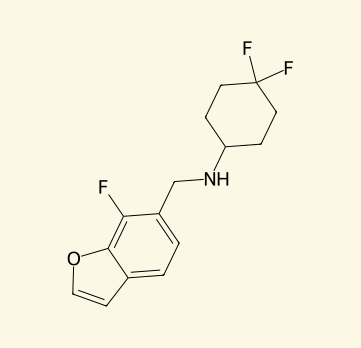 Fc1c(CNC2CCC(F)(F)CC2)ccc2ccoc12